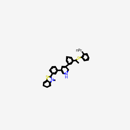 CCCc1ccccc1SC(C)c1cccc(C2=CC(c3cccc(C4SC5=CCCC=C5N4C)c3)=CNC2)c1